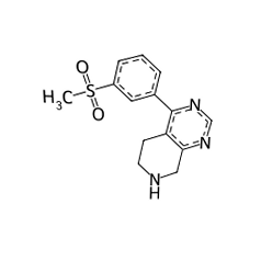 CS(=O)(=O)c1cccc(-c2ncnc3c2CCNC3)c1